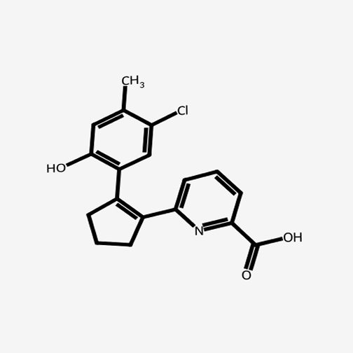 Cc1cc(O)c(C2=C(c3cccc(C(=O)O)n3)CCC2)cc1Cl